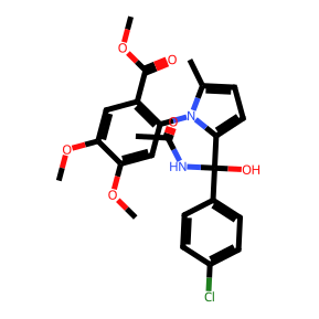 COC(=O)c1cc(OC)c(OC)cc1-n1c(C)ccc1C(O)(NC(C)=O)c1ccc(Cl)cc1